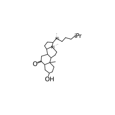 CC(C)CCC[C@@H](C)C1CCC2C3CC(=O)C4CC(O)CCC4(C)C3CC[C@@]21C